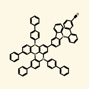 N#Cc1cccc(-c2ccccc2-n2c3ccccc3c3cc(-c4cc5c6c(c4)N(c4ccc(-c7ccccc7)cc4)c4ccc(-c7ccccc7)cc4B6c4cc(-c6ccccc6)ccc4N5c4ccc(-c5ccccc5)cc4)ccc32)c1